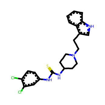 S=C(Nc1ccc(Cl)c(Cl)c1)NC1CCN(CCc2c[nH]c3ccccc23)CC1